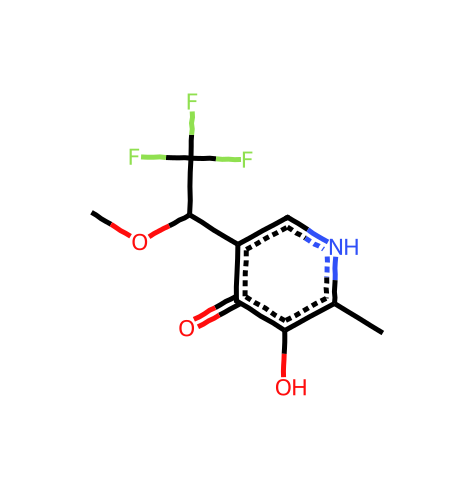 COC(c1c[nH]c(C)c(O)c1=O)C(F)(F)F